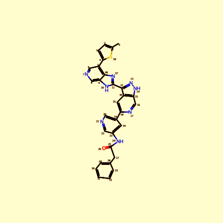 Cc1ccc(-c2cncc3[nH]c(-c4n[nH]c5cnc(-c6cncc(NC(=O)Cc7ccccc7)c6)cc45)nc23)s1